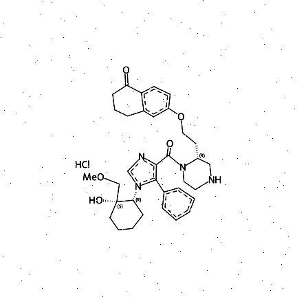 COC[C@]1(O)CCCC[C@H]1n1cnc(C(=O)N2CCNC[C@H]2CCOc2ccc3c(c2)CCCC3=O)c1-c1ccccc1.Cl